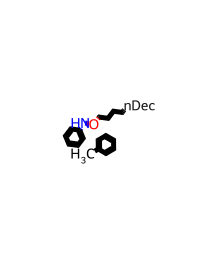 CCCCCCCCCCCCCCONc1ccccc1.Cc1ccccc1